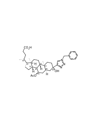 CC(=O)O[C@@H]1C[C@@H]2C[C@@](O)(c3cn(Cc4ccccc4)nn3)CC[C@]2(C)[C@H]2CC[C@]3(C)[C@@H]([C@H](C)CCC(=O)O)CC[C@H]3[C@H]12